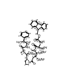 CC[C@H](C)[C@@H]([C@@H](CC(=O)N1CCCC1[C@H](OC)[C@@H](C)C(=O)N[C@H](C)[C@@H](O)c1ccccc1)OC)N(C)C(=O)C(NC(=O)OCC1c2ccccc2-c2ccccc21)C(C)C